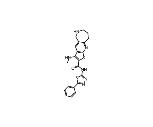 CNc1c(C(=O)Nc2nnc(-c3ccccc3)s2)sc2nc3c(cc12)CNCCC3